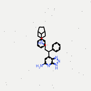 Nc1cc(C(CCNC2CC3CCC(C2)C3c2ccccc2)c2ccccc2)c2nn[nH]c2n1